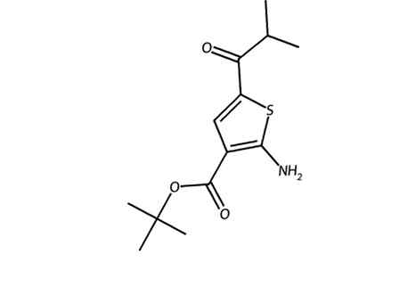 CC(C)C(=O)c1cc(C(=O)OC(C)(C)C)c(N)s1